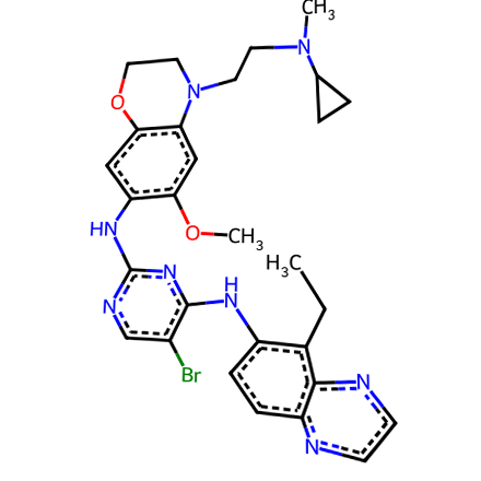 CCc1c(Nc2nc(Nc3cc4c(cc3OC)N(CCN(C)C3CC3)CCO4)ncc2Br)ccc2nccnc12